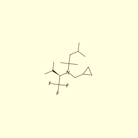 CC(C)CC(C)(C)N(CC1CC1)[C@H](C(C)C)C(F)(F)F